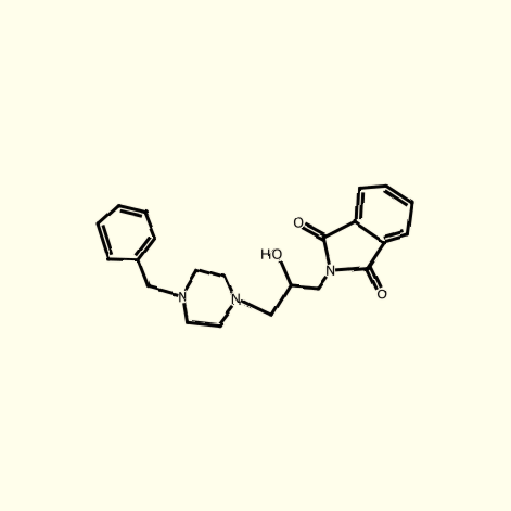 O=C1c2ccccc2C(=O)N1CC(O)CN1CCN(Cc2ccccc2)CC1